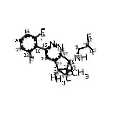 CC1(C)[C@H]2CC[C@]1(NCC(F)F)c1nnc(-c3c(F)cccc3F)cc12